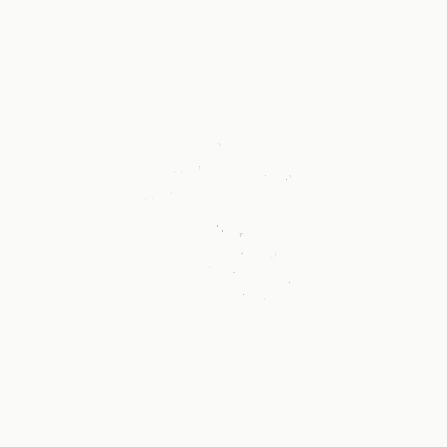 COC(=O)C1OC(=O)N(C(c2ccccc2)c2ccccc2)C1C(=O)OC